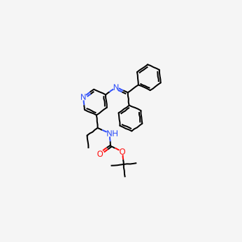 CCC(NC(=O)OC(C)(C)C)c1cncc(N=C(c2ccccc2)c2ccccc2)c1